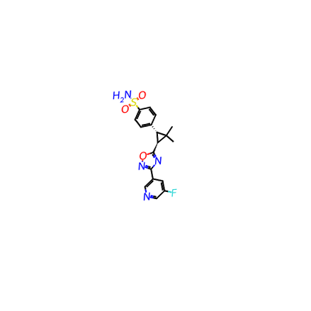 CC1(C)[C@@H](c2ccc(S(N)(=O)=O)cc2)[C@@H]1c1nc(-c2cncc(F)c2)no1